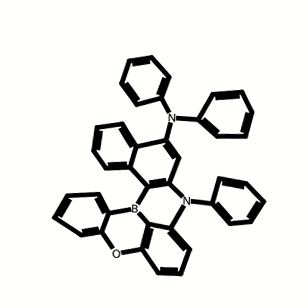 c1ccc(N2c3cccc4c3B(c3ccccc3O4)c3c2cc(N(c2ccccc2)c2ccccc2)c2ccccc32)cc1